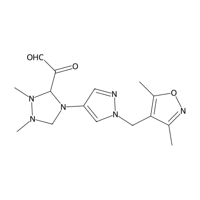 Cc1noc(C)c1Cn1cc(N2CN(C)N(C)C2C(=O)C=O)cn1